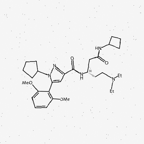 CCN(CC)CC[C@@H](CC(=O)NC1CCC1)NC(=O)c1cc(-c2c(OC)cccc2OC)n(C2CCCC2)n1